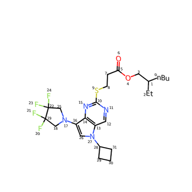 CCCCC(CC)COC(=O)CCSc1ncc2c(n1)c(N1CC(F)(F)C(F)(F)C1)cn2C1CCC1